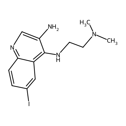 CN(C)CCNc1c(N)cnc2ccc(I)cc12